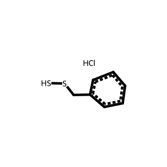 Cl.SSCc1ccccc1